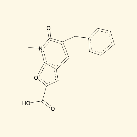 Cn1c(=O)c(Cc2ccccc2)cc2cc(C(=O)O)oc21